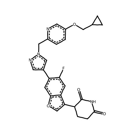 O=C1CCC(c2coc3cc(-c4cnn(Cc5ccc(OCC6CC6)cn5)c4)c(F)cc23)C(=O)N1